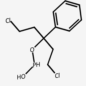 OPOC(CCCl)(CCCl)c1ccccc1